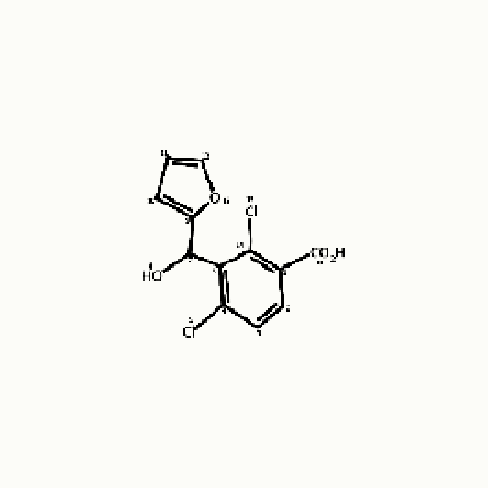 O=C(O)c1ccc(Cl)c(C(O)c2ccco2)c1Cl